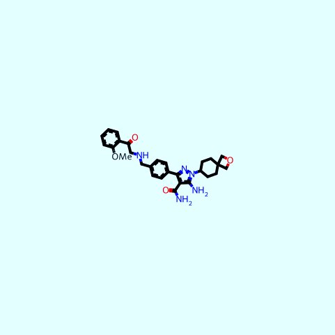 COc1ccccc1C(=O)CNCc1ccc(-c2nn(C3CCC4(CC3)COC4)c(N)c2C(N)=O)cc1